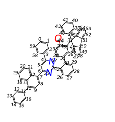 c1ccc(-c2cc(-c3ccc(-c4ccccc4)c4ccccc34)nc(-c3ccccc3-c3ccc4c(c3)C3(c5ccccc5O4)c4ccccc4-c4ccccc43)n2)cc1